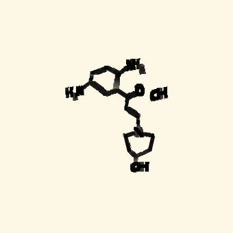 Cl.Nc1ccc(N)c(C(=O)C=CN2CCC(O)CC2)c1